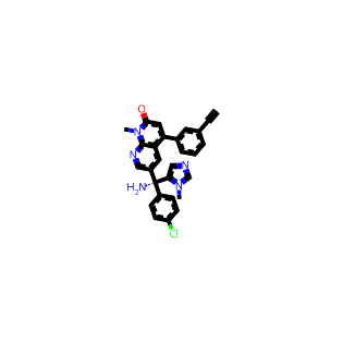 C#Cc1cccc(-c2cc(=O)n(C)c3ncc([C@](N)(c4ccc(Cl)cc4)c4cncn4C)cc23)c1